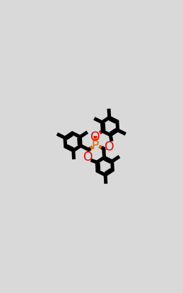 Cc1cc(C)c(C(=O)P(Oc2c(C)c(C)cc(C)c2C)C(=O)c2c(C)cc(C)cc2C)c(C)c1